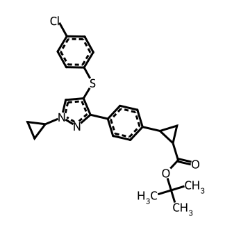 CC(C)(C)OC(=O)C1CC1c1ccc(-c2nn(C3CC3)cc2Sc2ccc(Cl)cc2)cc1